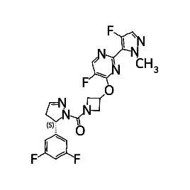 Cn1ncc(F)c1-c1ncc(F)c(OC2CN(C(=O)N3N=CC[C@H]3c3cc(F)cc(F)c3)C2)n1